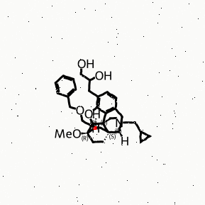 CO[C@]12CC[C@@]3(C[C@@H]1COCc1ccccc1)[C@H]1Cc4ccc(CC(O)CO)c5c4[C@@]3(CCN1CC1CC1)[C@H]2O5